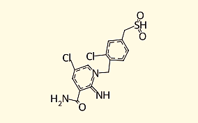 N=c1c(C(N)=O)cc(Cl)cn1Cc1ccc(C[SH](=O)=O)cc1Cl